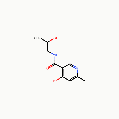 Cc1cc(O)c(C(=O)NCC(O)C=O)cn1